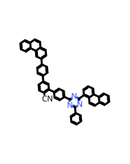 N#Cc1ccc(-c2ccc(-c3ccc4ccc5ccccc5c4c3)cc2)cc1-c1ccc(-c2nc(-c3ccccc3)nc(-c3cccc4c3ccc3ccccc34)n2)cc1